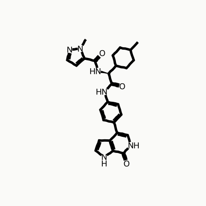 CC1CCC([C@H](NC(=O)c2ccnn2C)C(=O)Nc2ccc(-c3c[nH]c(=O)c4[nH]ccc34)cc2)CC1